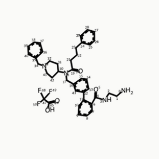 NCCNC(=O)c1ccccc1-c1cccc(CN(C(=O)CCCc2ccccc2)C2CCN(Cc3ccccc3)CC2)c1.O=C(O)C(F)(F)F